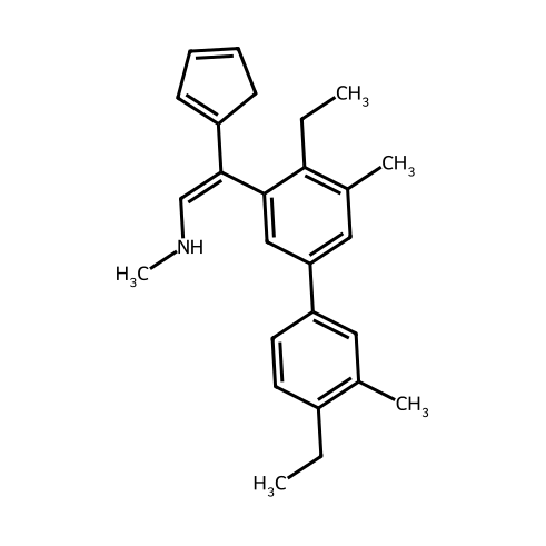 CCc1ccc(-c2cc(C)c(CC)c(/C(=C\NC)C3=CC=CC3)c2)cc1C